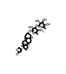 CC1O[C@@H](O[C@H]2CCC3(C)C4CCC5(C)[C@@H](C6=CC(=O)OC6)CC[C@]5(O)[C@@H]4CC[C@@H]3C2)[C@@H](O)C(O[C@@H]2OC(C)[C@H](O)C(O)[C@@H]2O)[C@H]1N